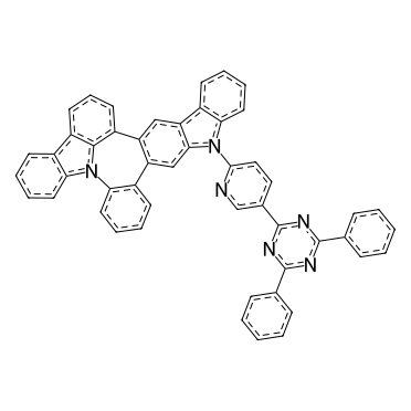 c1ccc(-c2nc(-c3ccccc3)nc(-c3ccc(-n4c5ccccc5c5cc6c(cc54)-c4ccccc4-n4c5ccccc5c5cccc-6c54)nc3)n2)cc1